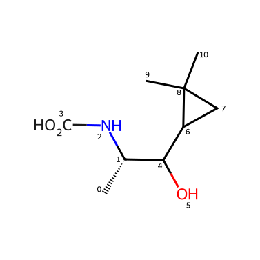 C[C@H](NC(=O)O)C(O)C1CC1(C)C